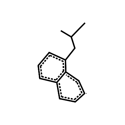 CC(C)Cc1cccc2cc[c]cc12